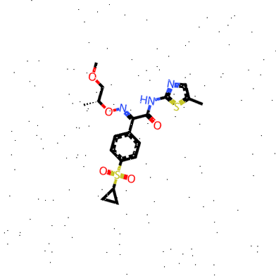 COC[C@@H](C)O/N=C(/C(=O)Nc1ncc(C)s1)c1ccc(S(=O)(=O)C2CC2)cc1